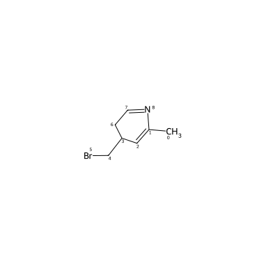 CC1=CC(CBr)CC=N1